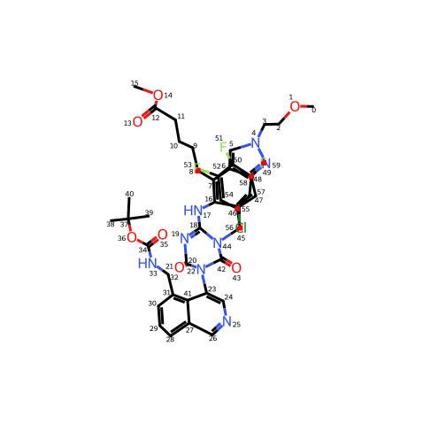 COCCn1cc2c(CCCCC(=O)OC)c(Nc3nc(=O)n(-c4cncc5cccc(CNC(=O)OC(C)(C)C)c45)c(=O)n3Cc3cc(F)c(F)c(F)c3)c(Cl)cc2n1